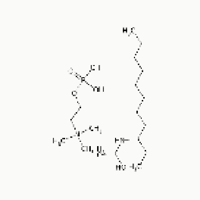 CCCCCCCCC(CC)NC(C)O.C[N+](C)(C)CCOP(=O)(O)O